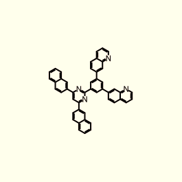 c1ccc2cc(-c3cc(-c4ccc5ccccc5c4)nc(-c4cc(-c5ccc6cccnc6c5)cc(-c5ccc6cccnc6c5)c4)n3)ccc2c1